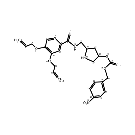 C=CCOc1cnc(C(=O)NCC2CC(SC(=O)OCc3ccc([N+](=O)[O-])cc3)CN2)cc1OCC=C